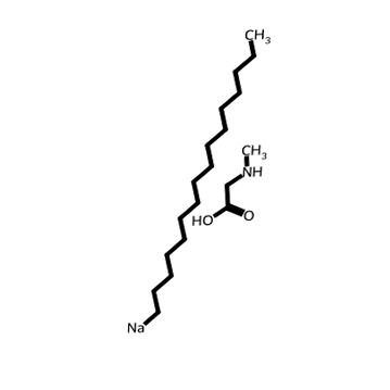 CCCCCCCCCCCCCCC[CH2][Na].CNCC(=O)O